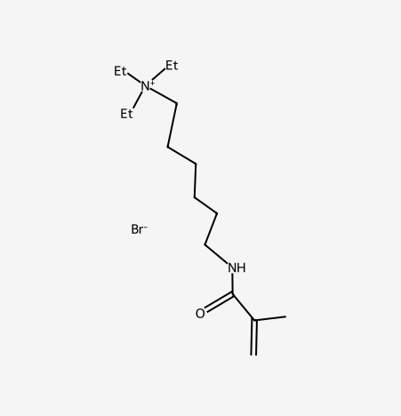 C=C(C)C(=O)NCCCCCC[N+](CC)(CC)CC.[Br-]